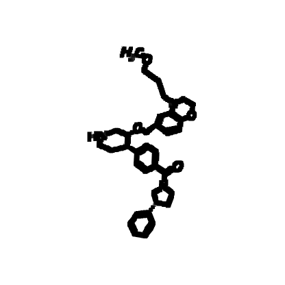 COCCCN1CCOc2ccc(CO[C@H]3CNCC[C@@H]3c3ccc(C(=O)N4CC[C@H](c5ccccc5)C4)cc3)cc21